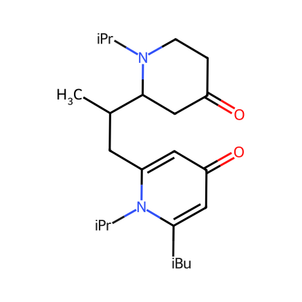 CCC(C)c1cc(=O)cc(CC(C)C2CC(=O)CCN2C(C)C)n1C(C)C